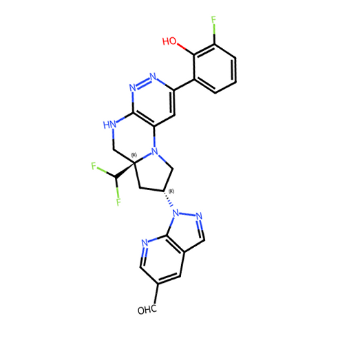 O=Cc1cnc2c(cnn2[C@H]2CN3c4cc(-c5cccc(F)c5O)nnc4NC[C@@]3(C(F)F)C2)c1